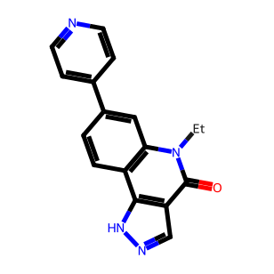 CCn1c(=O)c2cn[nH]c2c2ccc(-c3ccncc3)cc21